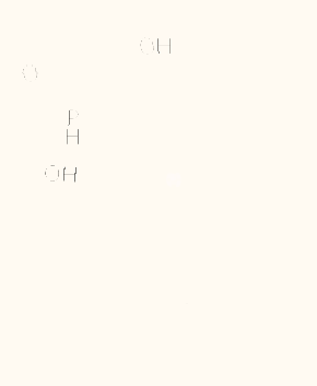 O=[PH](O)C(O)/C=C/c1ccccc1